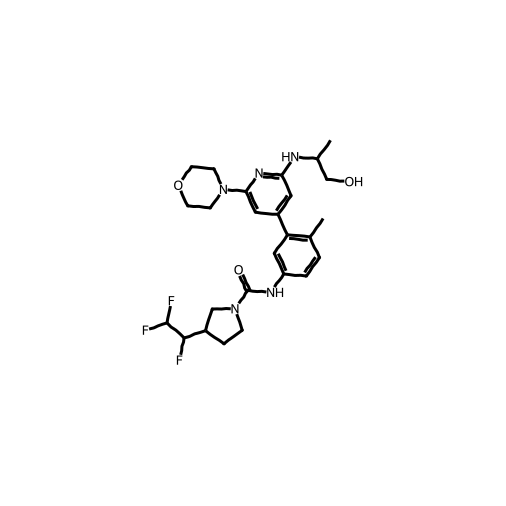 Cc1ccc(NC(=O)N2CCC(C(F)C(F)F)C2)cc1-c1cc(NC(C)CO)nc(N2CCOCC2)c1